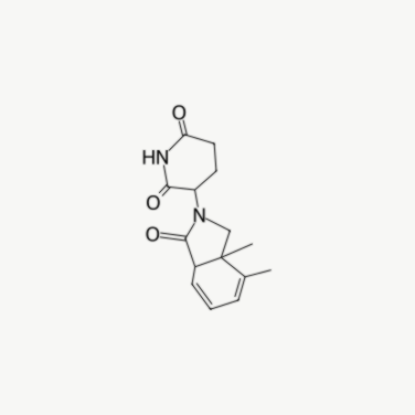 CC1=CC=CC2C(=O)N(C3CCC(=O)NC3=O)CC12C